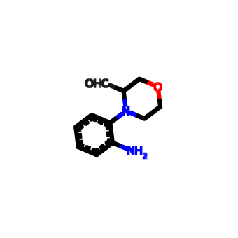 Nc1ccccc1N1CCOCC1C=O